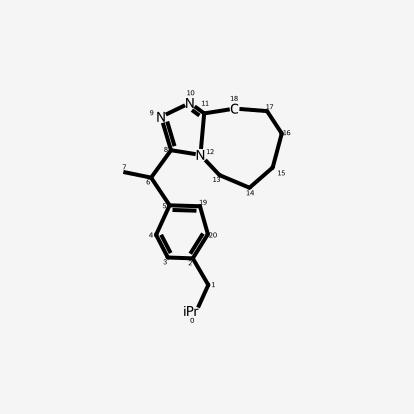 CC(C)Cc1ccc(C(C)c2nnc3n2CCCCCC3)cc1